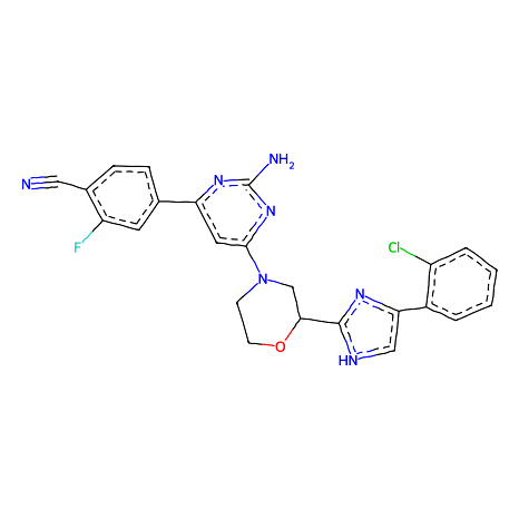 N#Cc1ccc(-c2cc(N3CCOC(c4nc(-c5ccccc5Cl)c[nH]4)C3)nc(N)n2)cc1F